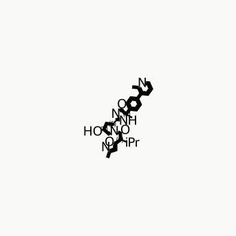 Cc1cc([C@@H](C(=O)N2C[C@H](O)C[C@H]2C2=NC(=O)[C@](C)(c3ccc(-c4cccnc4C)cc3)N2)C(C)C)on1